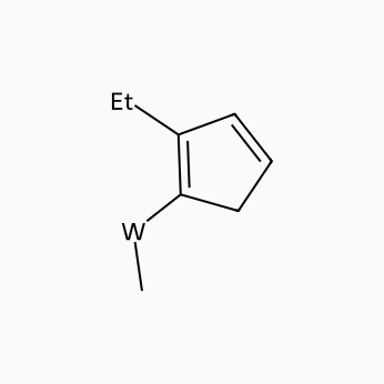 CCC1=[C]([W][CH3])CC=C1